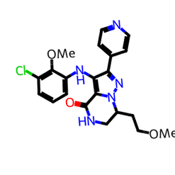 COCCC1CNC(=O)c2c(Nc3cccc(Cl)c3OC)c(-c3ccncc3)nn21